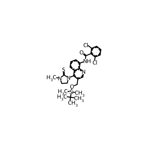 CN1CCN(c2c(CO[Si](C)(C)C(C)(C)C)cnc3c(NC(=O)c4c(Cl)cccc4Cl)cccc23)C1=S